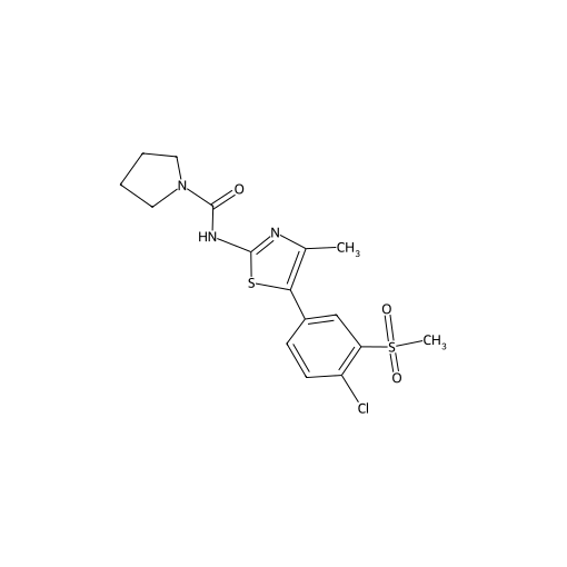 Cc1nc(NC(=O)N2CCCC2)sc1-c1ccc(Cl)c(S(C)(=O)=O)c1